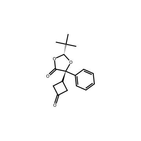 CC(C)(C)[C@H]1OC(=O)[C@](c2ccccc2)(C2CC(=O)C2)O1